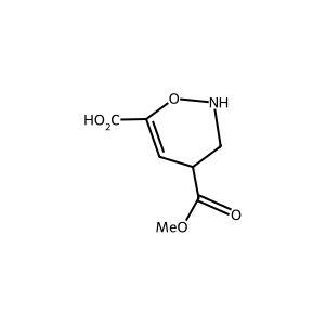 COC(=O)C1C=C(C(=O)O)ONC1